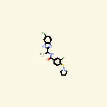 CC(NC(=O)c1ccc(SN2CCCC2)c(Cl)c1)c1nc2ccc(Cl)cc2[nH]1